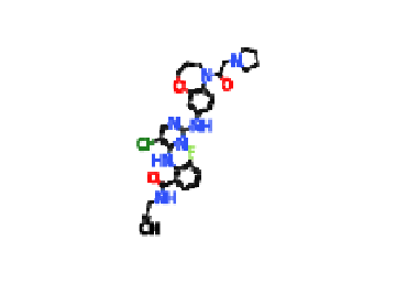 C#CCNC(=O)c1cccc(F)c1Nc1nc(Nc2ccc3c(c2)OCCCN3C(=O)CN2CCCC2)ncc1Cl